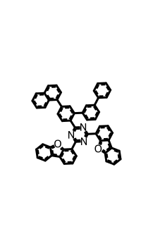 c1ccc(-c2cccc(-c3cc(-c4cccc5ccccc45)ccc3-c3nc(-c4cccc5c4oc4ccccc45)nc(-c4cccc5c4oc4ccccc45)n3)c2)cc1